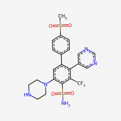 CS(=O)(=O)c1ccc(-c2cc(N3CCNCC3)c(S(N)(=O)=O)c(C(F)(F)F)c2-c2cncnc2)cc1